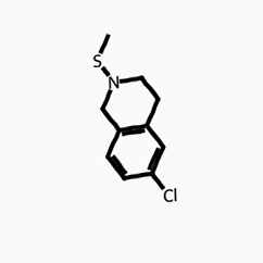 CSN1CCc2cc(Cl)ccc2C1